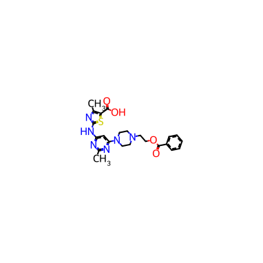 Cc1nc(Nc2nc(C)c(C(=O)O)s2)cc(N2CCN(CCOC(=O)c3ccccc3)CC2)n1